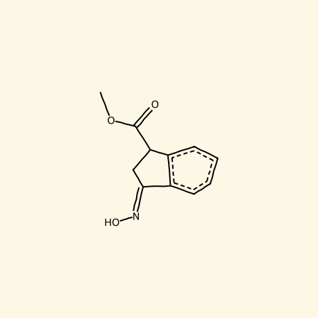 COC(=O)C1CC(=NO)c2ccccc21